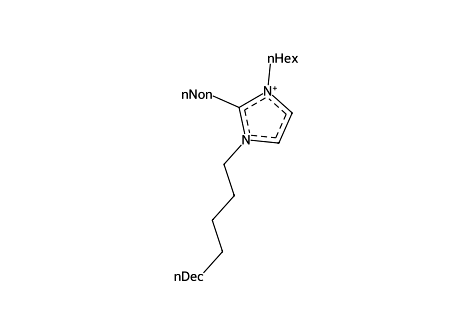 CCCCCCCCCCCCCCn1cc[n+](CCCCCC)c1CCCCCCCCC